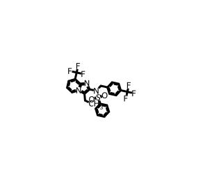 CCc1c(N(Cc2ccc(C(F)(F)F)cc2)S(=O)(=O)c2ccccc2)nc2c(C(F)(F)F)cccn12